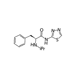 CC(C)N[C@@H](Cc1ccccc1)C(=O)Nc1nncs1